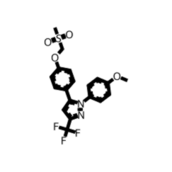 COc1ccc(-n2nc(C(F)(F)F)cc2-c2ccc(OCS(C)(=O)=O)cc2)cc1